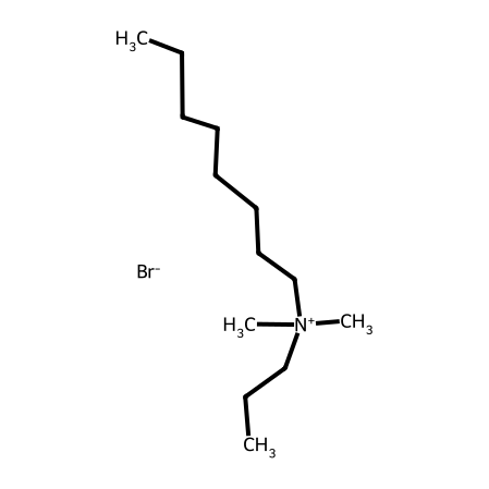 CCCCCCCC[N+](C)(C)CCC.[Br-]